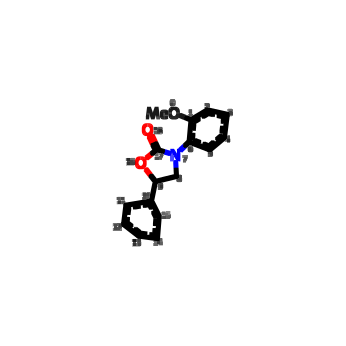 COc1ccccc1N1CC(c2ccccc2)OC1=O